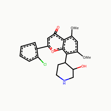 COc1cc(OC)c2c(=O)cc(-c3ccccc3Cl)oc2c1C1CCNCC1O